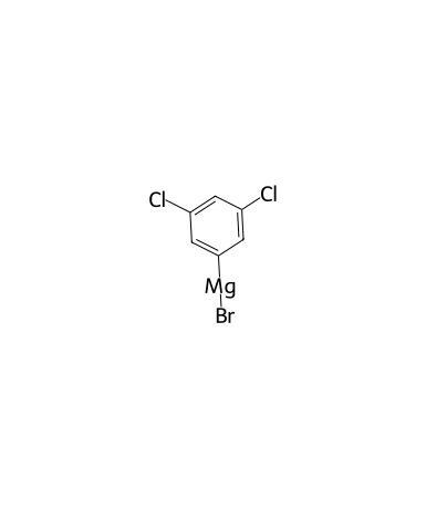 Clc1cc(Cl)c[c]([Mg][Br])c1